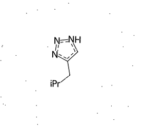 CC(C)Cc1c[nH]nn1